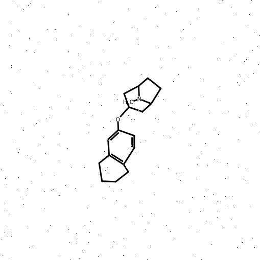 CN1C2CCC1CC(Oc1ccc3c(c1)CCCC3)C2